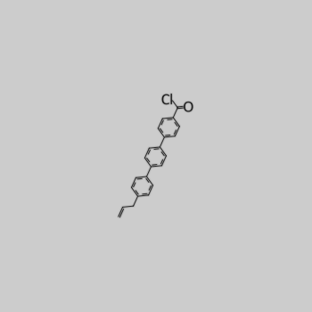 C=CCc1ccc(-c2ccc(-c3ccc(C(=O)Cl)cc3)cc2)cc1